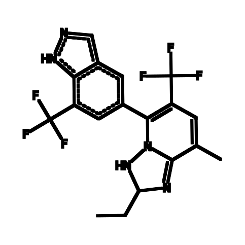 CCC1N=C2C(C)=CC(C(F)(F)F)=C(c3cc(C(F)(F)F)c4[nH]ncc4c3)N2N1